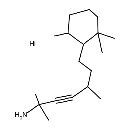 CC(C#CC(C)(C)N)CCC1C(C)CCCC1(C)C.I